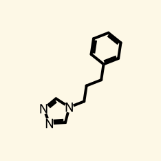 c1ccc(CCCn2cnnc2)cc1